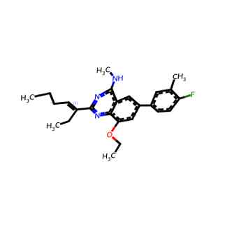 CCC/C=C(\CC)c1nc(NC)c2cc(-c3ccc(F)c(C)c3)cc(OCC)c2n1